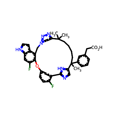 CC1(C)CCCCC(C)(c2cccc(CC(=O)O)c2)c2cnc([nH]2)-c2cc(ccc2F)Oc2c(F)cc3[nH]ccc3c2Cn2cc1nn2